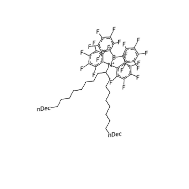 CCCCCCCCCCCCCCCCCCC(CCCCCCCCCCCCCCCCCC)[N+](B(c1c(F)c(F)c(F)c(F)c1F)c1c(F)c(F)c(F)c(F)c1F)(c1c(F)c(F)c(F)c(F)c1F)c1c(F)c(F)c(F)c(F)c1F